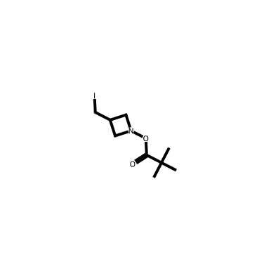 CC(C)(C)C(=O)ON1CC(CI)C1